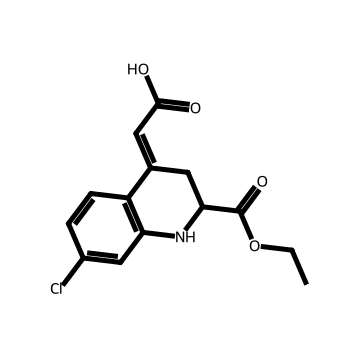 CCOC(=O)C1CC(=CC(=O)O)c2ccc(Cl)cc2N1